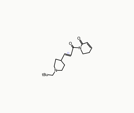 CC(C)(C)CN1CCC(/C=C/C(=O)N2CCC=CC2=O)CC1